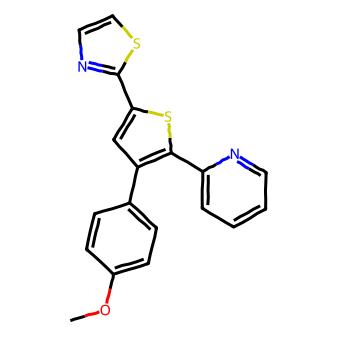 COc1ccc(-c2cc(-c3nccs3)sc2-c2ccccn2)cc1